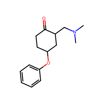 CN(C)CC1CC(Oc2ccccc2)CCC1=O